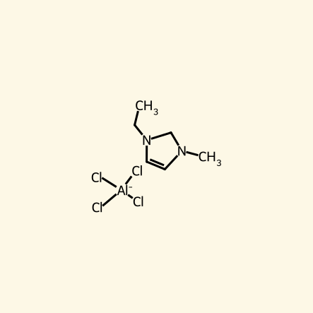 CCN1C=CN(C)C1.[Cl][Al-]([Cl])([Cl])[Cl]